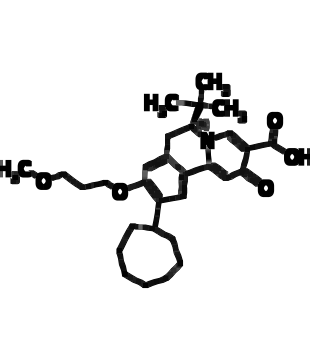 COCCCOc1cc2c(cc1C1CCCCCCC1)-c1cc(=O)c(C(=O)O)cn1[C@H](C(C)(C)C)C2